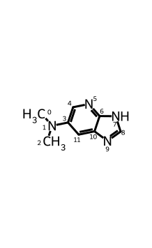 CN(C)c1cnc2[nH]cnc2c1